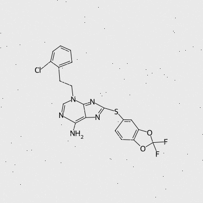 Nc1ncn(CCc2ccccc2Cl)c2nc(Sc3ccc4c(c3)OC(F)(F)O4)nc1-2